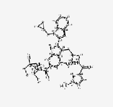 COc1cc(C(=O)N2C[C@H]3CC[C@@H]2[C@@H]3N)cc2nc(-c3cc4ccccc4n3CC3CC3)n(CC3CN(C(=O)c4cnn(C)c4)C3)c12